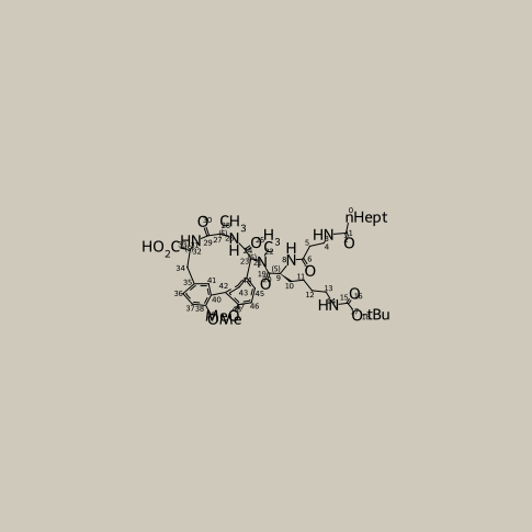 CCCCCCCC(=O)NCCC(=O)N[C@@H](CCCCNC(=O)OC(C)(C)C)C(=O)N(C)[C@@H]1C(=O)N[C@@H](C)C(=O)N[C@H](C(=O)O)Cc2ccc(OC)c(c2)-c2cc1ccc2OC